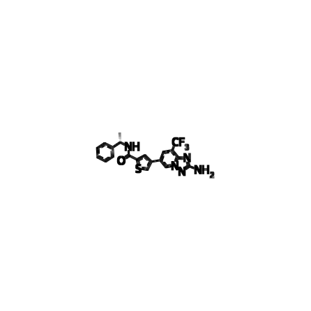 C[C@H](NC(=O)c1cc(-c2cc(C(F)(F)F)c3nc(N)nn3c2)cs1)c1ccccc1